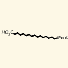 CCCC(C)CCCCCC=CC=CC=CC=CC=CC(=O)O